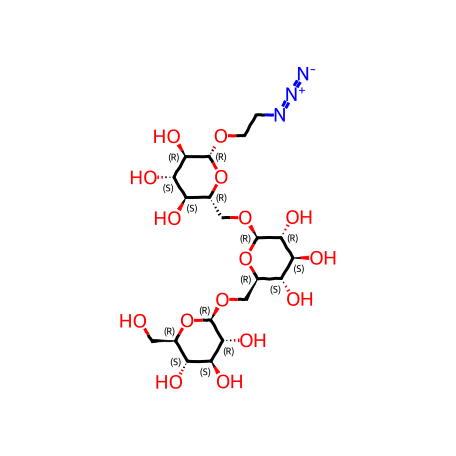 [N-]=[N+]=NCCO[C@@H]1O[C@H](CO[C@@H]2O[C@H](CO[C@@H]3O[C@H](CO)[C@@H](O)[C@H](O)[C@H]3O)[C@@H](O)[C@H](O)[C@H]2O)[C@@H](O)[C@H](O)[C@H]1O